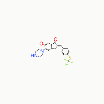 COc1cc2c(cc1N1CCNCC1)C/C(=C\c1ccc(SC(F)(F)F)cc1)C2=O